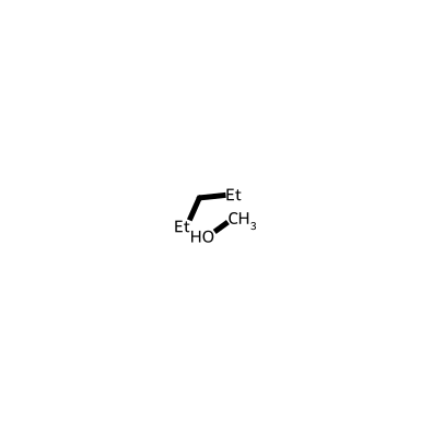 CCCCC.CO